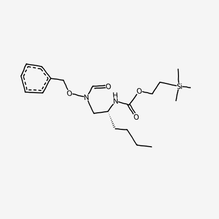 CCCC[C@H](CN(C=O)OCc1ccccc1)NC(=O)OCC[Si](C)(C)C